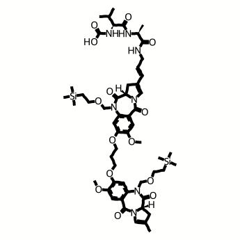 COc1cc2c(cc1OCCCOc1cc3c(cc1OC)C(=O)N1C=C(/C=C/CNC(=O)[C@H](C)NC(=O)[C@H](NC(=O)O)C(C)C)C[C@H]1C(=O)N3COCC[Si](C)(C)C)N(COCC[Si](C)(C)C)C(=O)[C@@H]1CC(C)=CN1C2=O